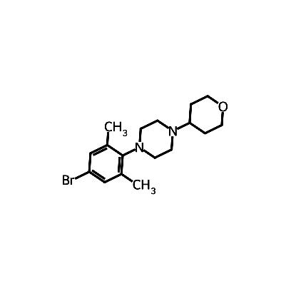 Cc1cc(Br)cc(C)c1N1CCN(C2CCOCC2)CC1